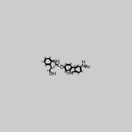 CC(=O)[AsH]c1ccc2[nH]c3cc(OCCNc4ccccc4CCO)ccc3c2c1